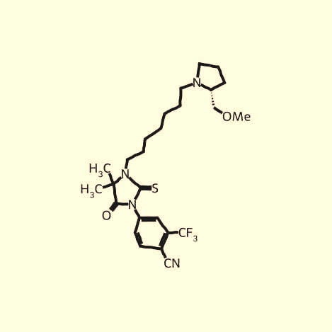 COC[C@H]1CCCN1CCCCCCCN1C(=S)N(c2ccc(C#N)c(C(F)(F)F)c2)C(=O)C1(C)C